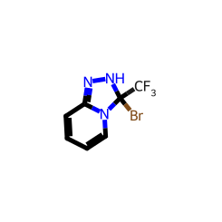 FC(F)(F)C1(Br)NN=C2C=CC=CN21